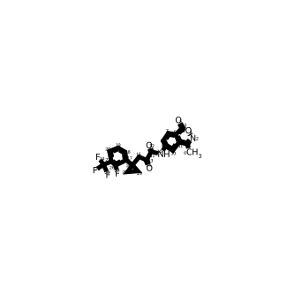 Cc1noc(=O)c2ccc(NC(=O)C(=O)CC3(c4cccc(C(F)(F)F)c4F)CC3)cc12